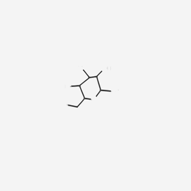 CC(=O)OC1OC(CO)C(O)C(O)C1O